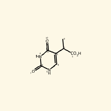 CC(C(=O)O)c1c[nH]c(=O)[nH]c1=O